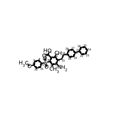 COc1ccc(S(=O)(=O)c2c(C)c(N)c(CCc3ccc(-c4ccccc4)cc3)c(C)c2C(=O)O)cc1